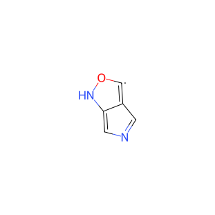 [c]1o[nH]c2cncc1-2